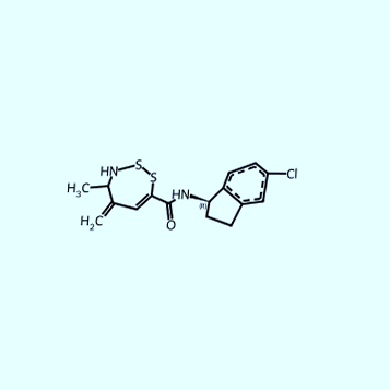 C=C1C=C(C(=O)N[C@@H]2CCc3cc(Cl)ccc32)SSNC1C